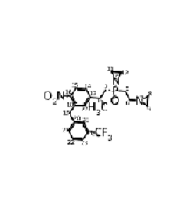 C[C@@H](C[P@@](=O)(CCN1CC1)N1CC1)c1ccc([N+](=O)[O-])c(Cc2cccc(C(F)(F)F)c2)c1